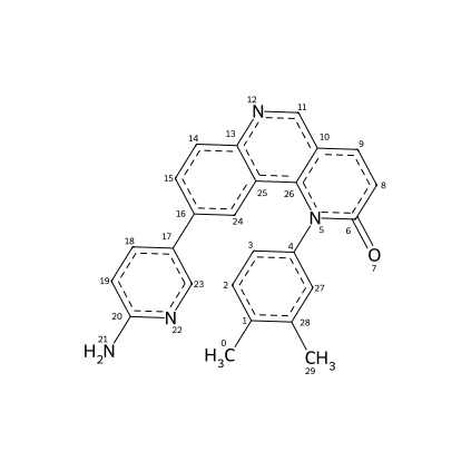 Cc1ccc(-n2c(=O)ccc3cnc4ccc(-c5ccc(N)nc5)cc4c32)cc1C